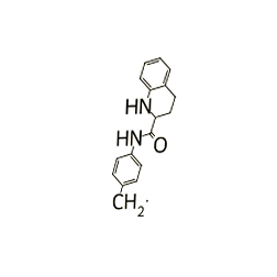 [CH2]c1ccc(NC(=O)C2CCc3ccccc3N2)cc1